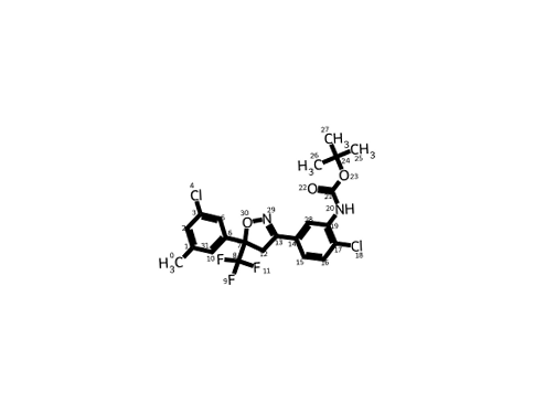 Cc1cc(Cl)cc(C2(C(F)(F)F)CC(c3ccc(Cl)c(NC(=O)OC(C)(C)C)c3)=NO2)c1